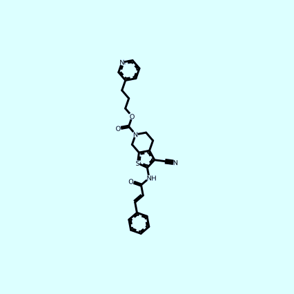 N#Cc1c(NC(=O)/C=C/c2ccccc2)sc2c1CCN(C(=O)OCCCc1cccnc1)C2